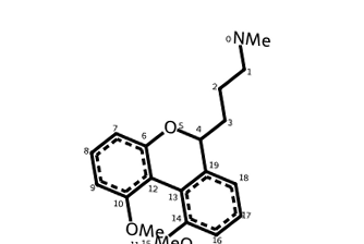 CNCCCC1Oc2cccc(OC)c2-c2c(OC)cccc21